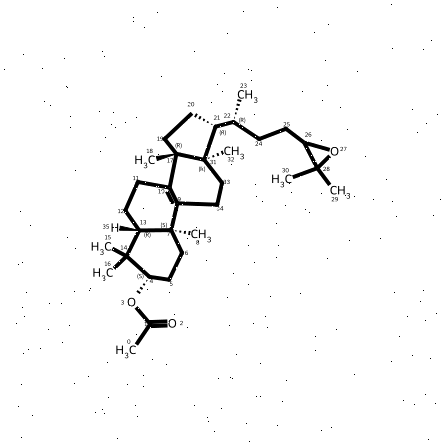 CC(=O)O[C@H]1CC[C@]2(C)C3=C(CC[C@H]2C1(C)C)[C@]1(C)CC[C@H]([C@H](C)CCC2OC2(C)C)[C@@]1(C)CC3